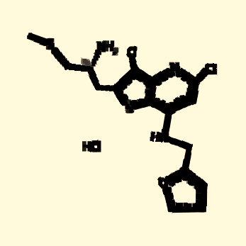 CSC[C@H](N)Cc1sc2c(NCc3ccco3)cc(Cl)nc2c1Cl.Cl